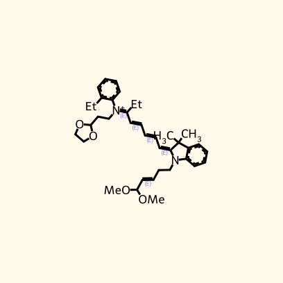 CCC(/C=C/C=C/C=C1/N(CC/C=C/C(OC)OC)c2ccccc2C1(C)C)=[N+](/CCC1OCCO1)c1ccccc1CC